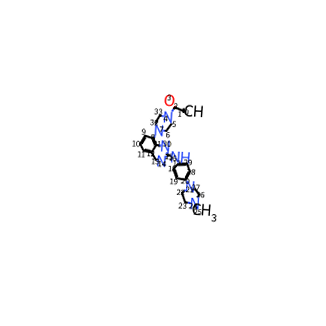 C#CC(=O)N1CCN(c2cccc3cnc(Nc4ccc(N5CCN(C)CC5)cc4)nc23)CC1